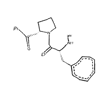 CC(C)N[C@H](Cc1ccccc1)C(=O)N1CCC[C@H]1C(=O)C(C)C